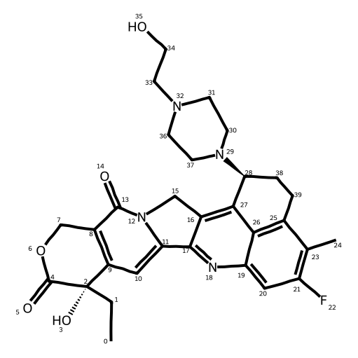 CC[C@@]1(O)C(=O)OCc2c1cc1n(c2=O)Cc2c-1nc1cc(F)c(C)c3c1c2[C@@H](N1CCN(CCO)CC1)CC3